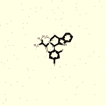 CC(C)C(=O)N1[C@H](c2c(F)cc(I)cc2F)c2[nH]c3ccccc3c2C[C@H]1C